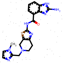 Cn1ccnc1CN1CCc2nc(NC(=O)c3cccc4[nH]c(N)nc34)sc2C1